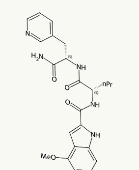 CCC[C@H](NC(=O)c1cc2c(OC)cccc2[nH]1)C(=O)N[C@@H](Cc1cccnc1)C(N)=O